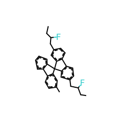 CCC(F)Cc1ccc2c(c1)C1(c3ccccc3-c3ccc(C)cc31)c1cc(CC(F)CC)ccc1-2